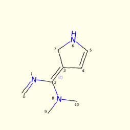 C=N/C(=C1/C=CNC1)N(C)C